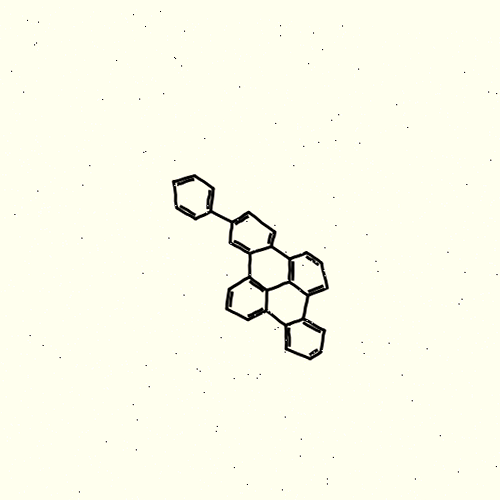 c1ccc(-c2ccc3c(c2)c2cccc4c5ccccc5c5cccc3c5c42)cc1